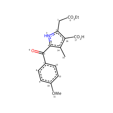 CCOC(=O)Cc1[nH]c(C(=O)c2ccc(OC)cc2)c(C)c1C(=O)O